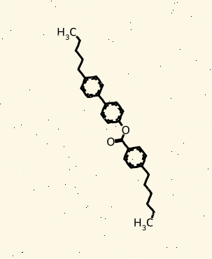 CCCCCCc1ccc(C(=O)Oc2ccc(-c3ccc(CCCCC)cc3)cc2)cc1